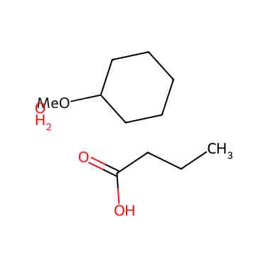 CCCC(=O)O.COC1CCCCC1.O